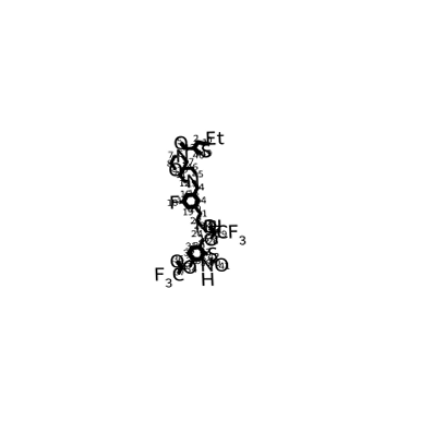 CCc1cc(C(=O)N2CCOC3(CCN(Cc4cc(F)cc(CCNC[C@H](OC(=O)C(F)(F)F)c5ccc(OC(=O)C(F)(F)F)c6[nH]c(=O)sc56)c4)CC3)C2)cs1